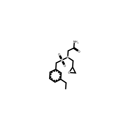 CCc1cccc(CS(=O)(=O)N(CC(N)=O)CC2CO2)c1